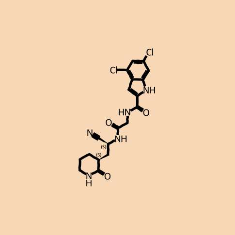 N#C[C@H](C[C@@H]1CCCNC1=O)NC(=O)CNC(=O)c1cc2c(Cl)cc(Cl)cc2[nH]1